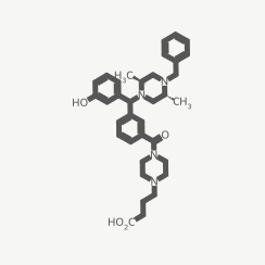 C[C@@H]1CN(C(c2cccc(O)c2)c2cccc(C(=O)N3CCN(CCCC(=O)O)CC3)c2)[C@@H](C)CN1Cc1ccccc1